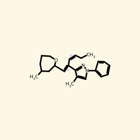 CC/C=C\C(=C/C1CC(C)CCCO1)c1nn(-c2ccccc2)cc1C